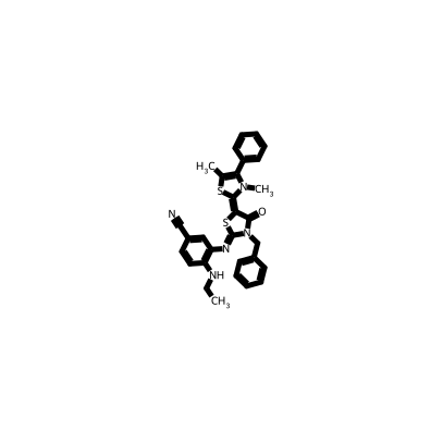 CCNc1ccc(C#N)cc1N=C1SC(=C2SC(C)=C(c3ccccc3)N2C)C(=O)N1Cc1ccccc1